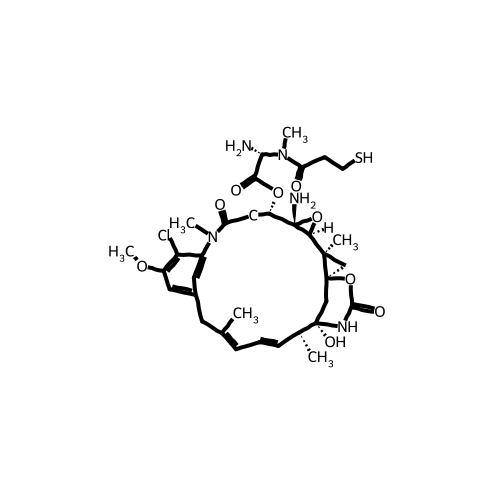 COc1cc2cc(c1Cl)N(C)C(=O)C[C@H](OC(=O)[C@H](N)N(C)C(=O)CCS)[C@]1(N)O[C@H]1[C@@]1(C)C[C@]13C[C@@](O)(NC(=O)O3)[C@H](C)/C=C/C=C(\C)C2